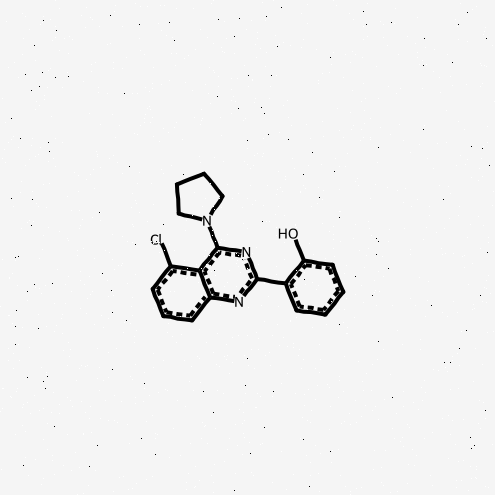 Oc1ccccc1-c1nc(N2CCCC2)c2c(Cl)cccc2n1